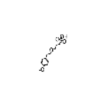 COc1ccc(CCOCCCS(=O)(=O)O)cc1